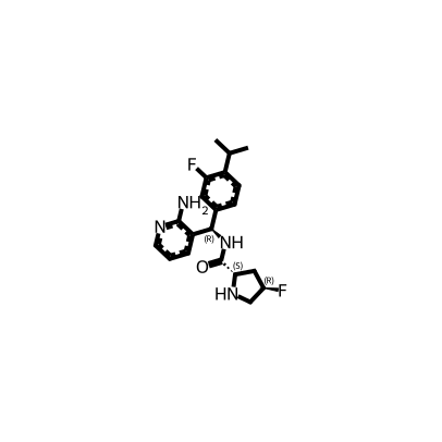 CC(C)c1ccc([C@@H](NC(=O)[C@@H]2C[C@@H](F)CN2)c2cccnc2N)cc1F